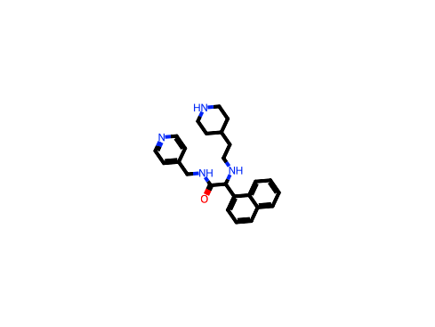 O=C(NCc1ccncc1)C(NCCC1CCNCC1)c1cccc2ccccc12